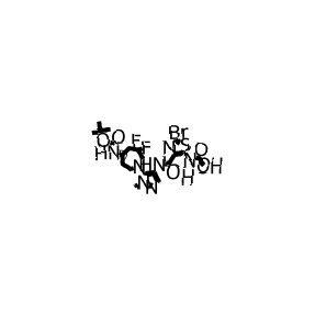 Cn1ncc(NC(=O)c2nc(Br)sc2NC(=O)O)c1N1CC[C@@H](NC(=O)OC(C)(C)C)CC(F)(F)C1